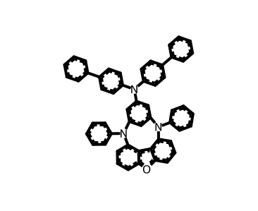 c1ccc(-c2ccc(N(c3ccc(-c4ccccc4)cc3)c3cc4cc(c3)N(c3ccccc3)c3cccc5oc6cccc(c6c35)N4c3ccccc3)cc2)cc1